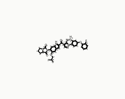 Cc1cc(Oc2ccccc2F)ccc1-n1ncc(C(=O)c2cc3cc(OCC(F)F)c(N4C(=O)C5CCCN5C4=O)cc3[nH]2)c1N